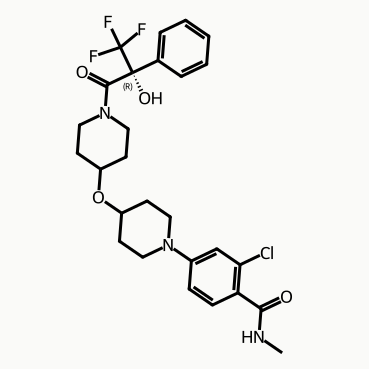 CNC(=O)c1ccc(N2CCC(OC3CCN(C(=O)[C@](O)(c4ccccc4)C(F)(F)F)CC3)CC2)cc1Cl